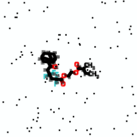 CCC(C)C(=O)OCCOC(=O)C(F)(F)CC(F)(F)CC(=O)C12CC3CC(CC(C3)C1)C2